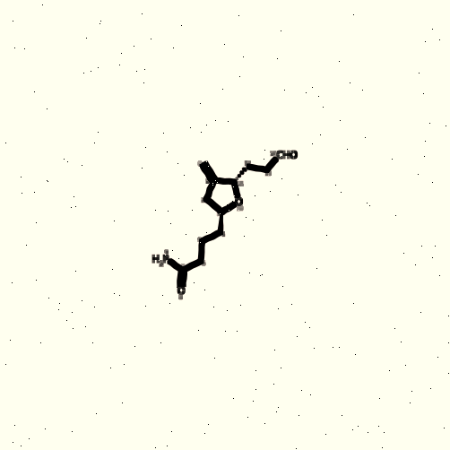 C=C1C[C@H](CCCC(=O)P)O[C@H]1CCC=O